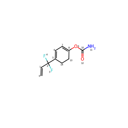 C=CC(F)(F)C1=CC=C(OC(N)=O)CC1